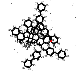 CC(C)(C)C1(C2(C(C)(C)C)c3ccc4ccccc4c3-c3c2cc(N(c2ccc(-c4ccccc4)cc2)c2ccc(-c4ccccc4)cc2)c2ccccc32)c2ccc3ccccc3c2-c2c1cc(N(c1ccc(-c3ccccc3)cc1)c1ccc(-c3ccccc3)cc1)c1ccccc21